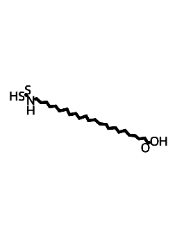 O=C(O)CCCCCCCCCCCCCCCCCCCCCCCNC(=S)S